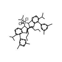 CCCCC1=Cc2c(ccc(C(C)C)c2-c2cc(C)cc(C)c2)[CH]1[Zr]([Cl])([Cl])([CH]1C(CCCC)=Cc2c1ccc(C(C)C)c2-c1cc(C)cc(C)c1)[SiH](C)C